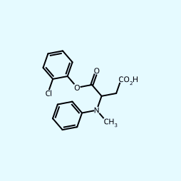 CN(c1ccccc1)C(CC(=O)O)C(=O)Oc1ccccc1Cl